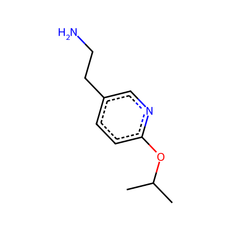 CC(C)Oc1ccc(CCN)cn1